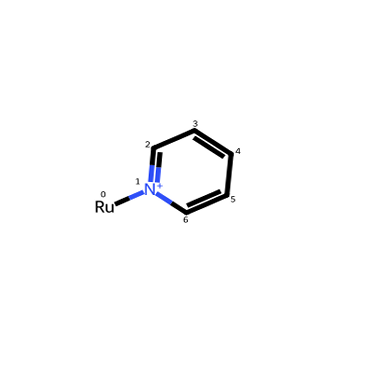 [Ru][n+]1ccccc1